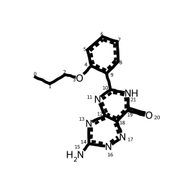 CCCOc1ccccc1-c1nc2nc(N)nnc2c(=O)[nH]1